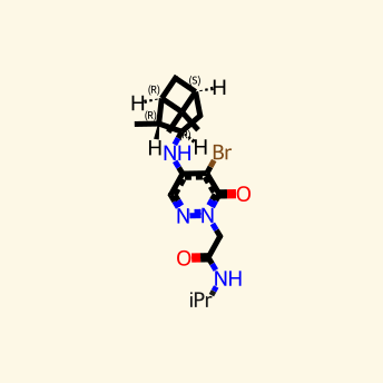 CC(C)NC(=O)Cn1ncc(N[C@@H]2C[C@@H]3C[C@H]([C@H]2C)C3(C)C)c(Br)c1=O